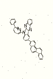 c1ccc(-c2cccc(-n3c4ccc(-c5ccc6c(ccc7c8ccccc8ccc67)c5)cc4c4nc5ccccc5nc43)n2)cc1